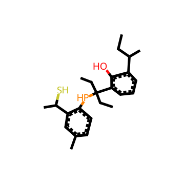 CCC(C)c1cccc(C(CC)(CC)Pc2ccc(C)cc2C(C)S)c1O